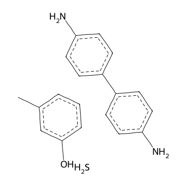 Cc1cccc(O)c1.Nc1ccc(-c2ccc(N)cc2)cc1.S